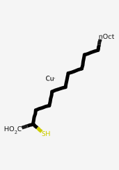 CCCCCCCCCCCCCCCCC(S)C(=O)O.[Cu]